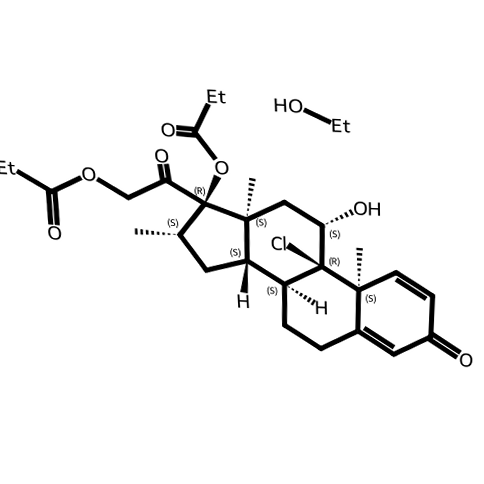 CCC(=O)OCC(=O)[C@@]1(OC(=O)CC)[C@@H](C)C[C@H]2[C@@H]3CCC4=CC(=O)C=C[C@]4(C)[C@@]3(Cl)[C@@H](O)C[C@@]21C.CCO